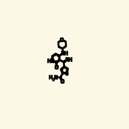 N=C(c1csc(C(N)=O)c1)c1c(NC2CCOCC2)cc[nH]c1=O